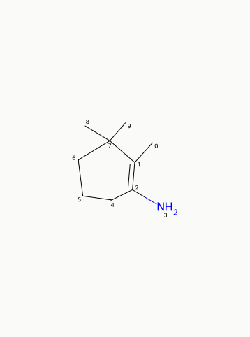 CC1=C(N)CCCC1(C)C